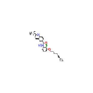 CCC#CCCCCOc1cccc(NC(=O)c2ccc3nc(C)ccc3c2)c1F